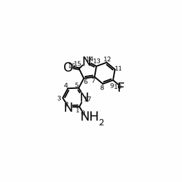 Nc1nccc(C2=c3cc(F)ccc3=NC2=O)n1